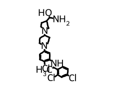 CC(Nc1cc(N2CCC(N3CCC(C(N)O)C3)CC2)ccc1Cl)c1ccc(Cl)cc1Cl